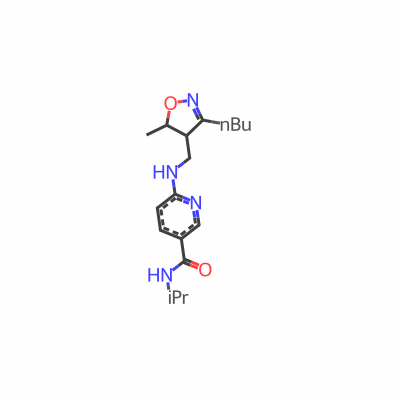 CCCCC1=NOC(C)C1CNc1ccc(C(=O)NC(C)C)cn1